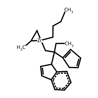 CCC[CH2][Zr]1([CH2]C(CC)(C2=CC=CC2)C2C=Cc3ccccc32)[CH2][CH]1C